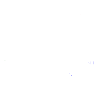 Fc1ccc(-c2cnc3[nH]cc(-c4ccoc4)c3c2)c(F)c1